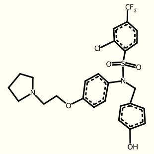 O=S(=O)(c1ccc(C(F)(F)F)cc1Cl)N(Cc1ccc(O)cc1)c1ccc(OCCN2CCCC2)cc1